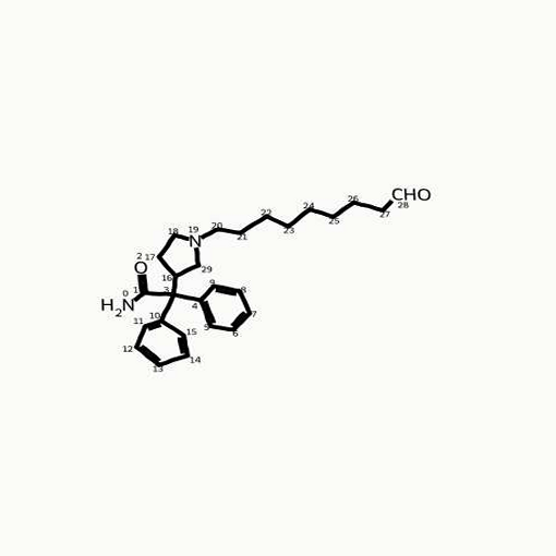 NC(=O)C(c1ccccc1)(c1ccccc1)C1CCN(CCCCCCCCC=O)C1